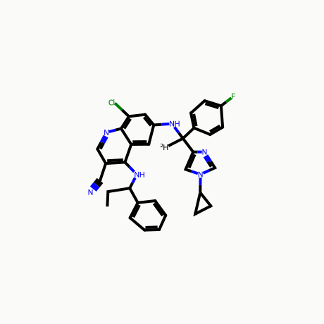 [2H]C(Nc1cc(Cl)c2ncc(C#N)c(NC(CC)c3ccccc3)c2c1)(c1ccc(F)cc1)c1cn(C2CC2)cn1